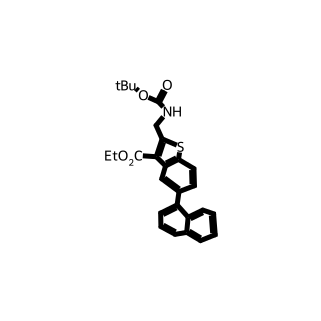 CCOC(=O)c1c(CNC(=O)OC(C)(C)C)sc2ccc(-c3cccc4ccccc34)cc12